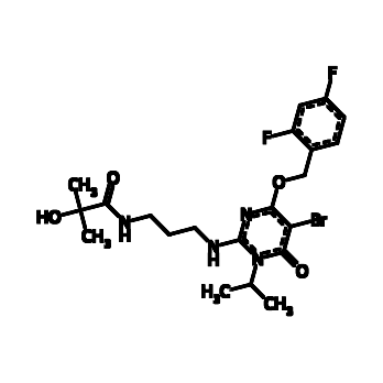 CC(C)n1c(NCCCNC(=O)C(C)(C)O)nc(OCc2ccc(F)cc2F)c(Br)c1=O